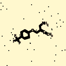 C=C=C(CN)COc1ccc(C(F)(F)F)cc1